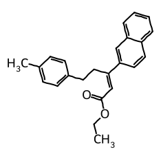 CCOC(=O)C=C(CCc1ccc(C)cc1)c1ccc2ccccc2c1